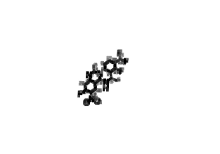 Cc1nc(N[C@H](C)c2cccc(C(F)F)c2F)c2cc([N+](=O)[O-])c(F)cc2n1